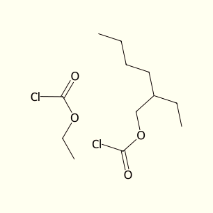 CCCCC(CC)COC(=O)Cl.CCOC(=O)Cl